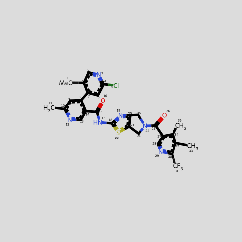 COc1cnc(Cl)cc1-c1cc(C)ncc1C(=O)Nc1nc2c(s1)CN(C(=O)c1cnc(C(F)(F)F)c(C)c1C)C2